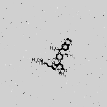 CC[C@@H]1CN(c2cc(=O)n(C)n3cc(CCNOC)nc23)[C@@H](C)CN1C(C)c1ccc2nccnc2c1